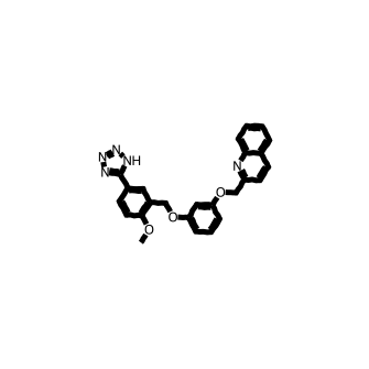 COc1ccc(-c2nnn[nH]2)cc1COc1cccc(OCc2ccc3ccccc3n2)c1